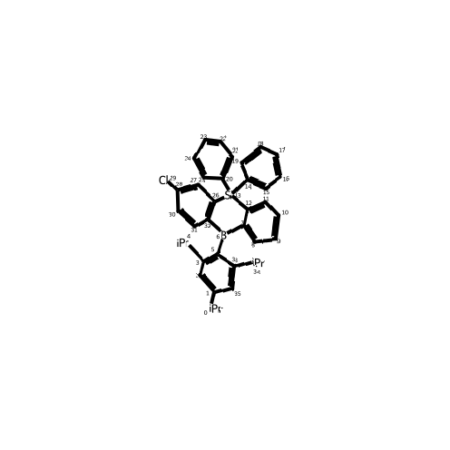 CC(C)c1cc(C(C)C)c(B2c3ccccc3[Si](c3ccccc3)(c3ccccc3)c3cc(Cl)ccc32)c(C(C)C)c1